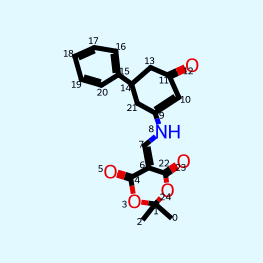 CC1(C)OC(=O)C(=CNC2=CC(=O)CC(c3ccccc3)C2)C(=O)O1